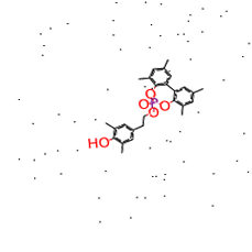 Cc1cc(C)c2c(c1)-c1cc(C)cc(C)c1OP(=O)(OCCc1cc(C)c(O)c(C)c1)O2